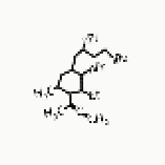 C=C=C(C)C1C(C)CC(CC(CCC)CCC(C)CC)C(CCC)C1CC